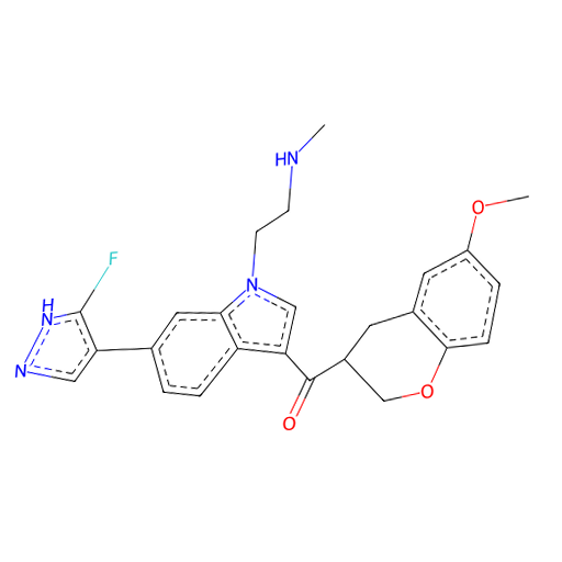 CNCCn1cc(C(=O)C2COc3ccc(OC)cc3C2)c2ccc(-c3cn[nH]c3F)cc21